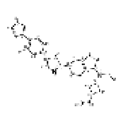 CCN(C1CCc2cc(-c3noc(-c4ccc(-c5ccsc5)c(C)c4)n3)ccc21)[C@H]1C[C@H](C=O)C1